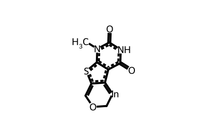 Cn1c(=O)[nH]c(=O)c2[c]3c(sc21)=CO[CH2][In]=3